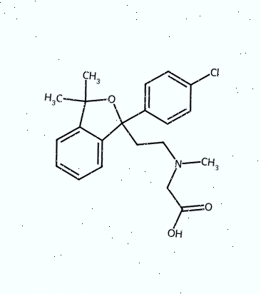 CN(CCC1(c2ccc(Cl)cc2)OC(C)(C)c2ccccc21)CC(=O)O